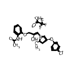 CC(=O)Nc1ccccc1OC[C@@H](O)CN1C[C@@H](Oc2ccc(Cl)cc2)C[C@H]1C.O=C(O)C(F)(F)F